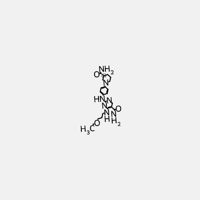 CCOCCCNc1nc(Nc2ccc(N3CCC[C@H](C(N)=O)C3)cc2)ncc1C(N)=O